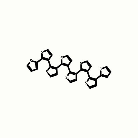 c1csc(-c2ccsc2-c2ccsc2-c2ccsc2-c2ccsc2-c2ccsc2-c2ccsc2-c2cccs2)c1